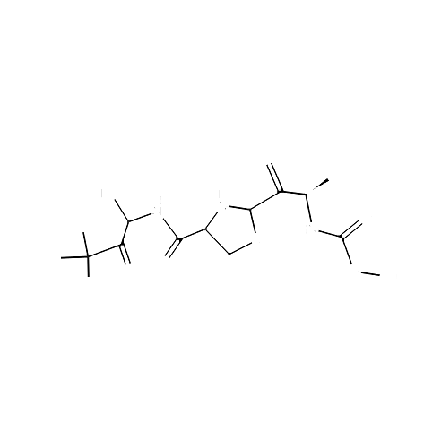 CC(C)C(NC(=O)C1CSC(C(=O)[C@H](NC(=O)OC(C)(C)C)C(C)C)N1)C(=O)C(F)(F)C(F)(F)F